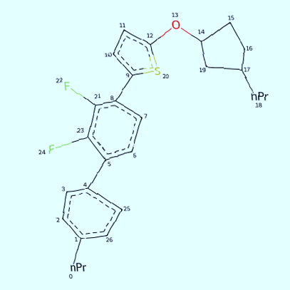 CCCc1ccc(-c2ccc(-c3ccc(OC4CCC(CCC)C4)s3)c(F)c2F)cc1